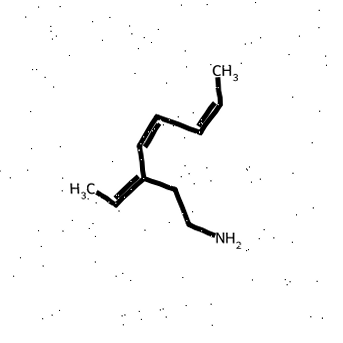 C\C=C/C=C\C(=C/C)CCN